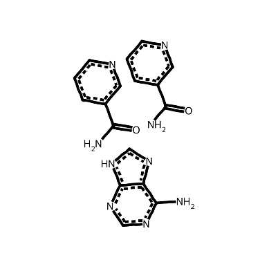 NC(=O)c1cccnc1.NC(=O)c1cccnc1.Nc1ncnc2[nH]cnc12